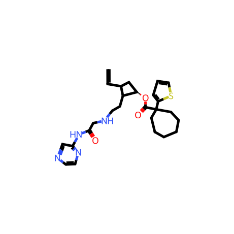 C=CC1C[C@H](OC(=O)C2(c3cccs3)CCCCCC2)C1CCNCC(=O)Nc1cnccn1